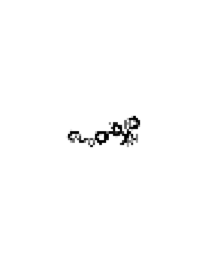 Cc1nnn(-c2ccccn2)c1-c1ccnc(-c2ccc(OCCN3CCCC3)cc2)c1